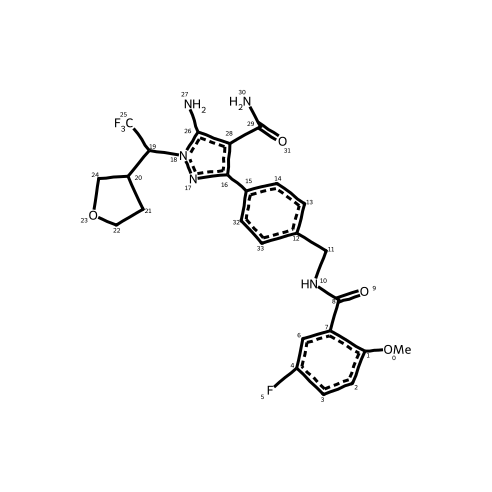 COc1ccc(F)cc1C(=O)NCc1ccc(-c2nn(C(C3CCOC3)C(F)(F)F)c(N)c2C(N)=O)cc1